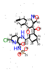 C#C/C=C\C(=C/C)c1oc2c(C(C)Nc3ccc(Cl)nc3C(=O)NS(C)(=O)=O)cc(C)cc2c(=O)c1-c1cnoc1